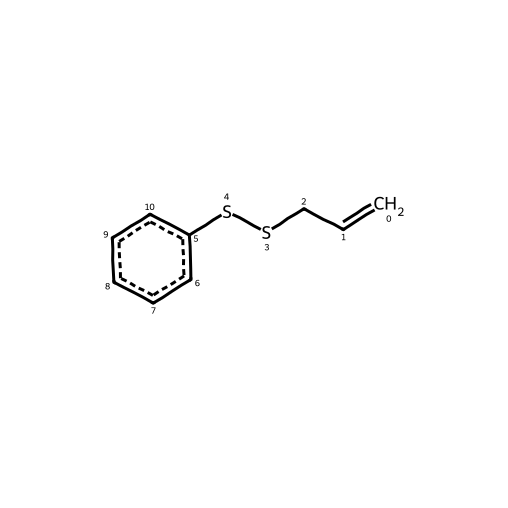 C=CCSSc1ccccc1